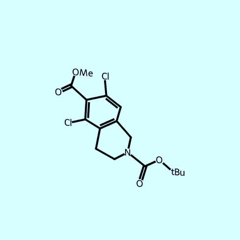 COC(=O)c1c(Cl)cc2c(c1Cl)CCN(C(=O)OC(C)(C)C)C2